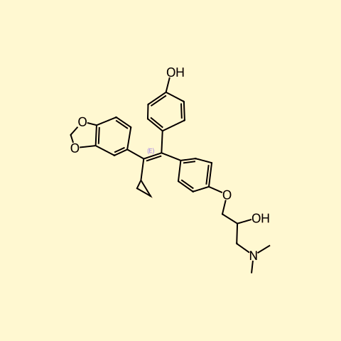 CN(C)CC(O)COc1ccc(/C(=C(/c2ccc3c(c2)OCO3)C2CC2)c2ccc(O)cc2)cc1